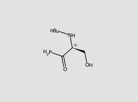 CCCCN[C@@H](CO)C(=O)P